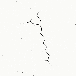 CCCCCCC(O)CNCCNCCN(CCN)CC(O)CCCCCC